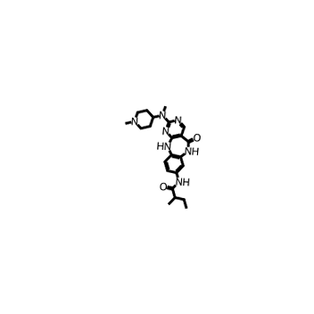 CCC(C)C(=O)Nc1ccc2c(c1)NC(=O)c1cnc(N(C)C3CCN(C)CC3)nc1N2